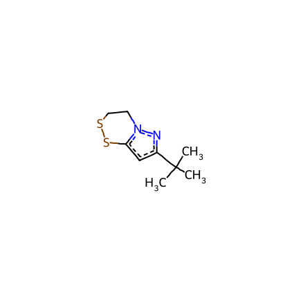 CC(C)(C)c1cc2n(n1)CCSS2